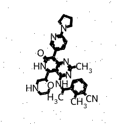 Cc1nc(NC(C)c2cccc(C#N)c2C)c2c(C3CNCCO3)[nH]c(=O)c(-c3ccc(N4CCCC4)nc3)c2n1